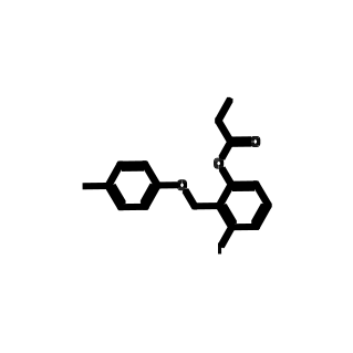 CCC(=O)Oc1cccc(I)c1COc1ccc(C)cc1